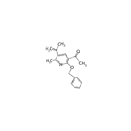 C=C(C)c1cc(C(C)=O)c(OCc2ccccc2)nc1C